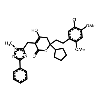 COc1cc(OC)c(CCC2(C3CCCC3)CC(O)=C(Cc3nc(-c4ccccc4)nn3C)C(=O)O2)cc1Cl